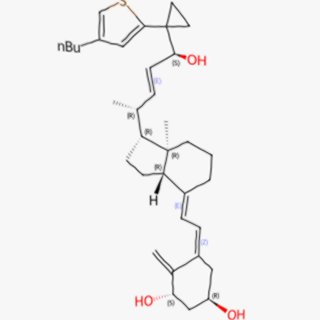 C=C1/C(=C\C=C2/CCC[C@]3(C)[C@@H]([C@H](C)/C=C/[C@H](O)C4(c5cc(CCCC)cs5)CC4)CC[C@@H]23)C[C@@H](O)C[C@@H]1O